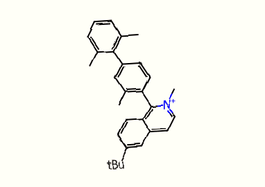 Cc1cc(-c2c(C)cccc2C)ccc1-c1c2ccc(C(C)(C)C)cc2cc[n+]1C